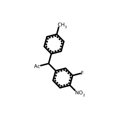 CC(=O)C(c1ccc(C)cc1)c1ccc([N+](=O)[O-])c(F)c1